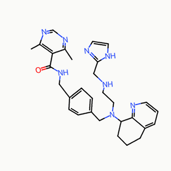 Cc1ncnc(C)c1C(=O)NCc1ccc(CN(CCNCc2ncc[nH]2)C2CCCc3cccnc32)cc1